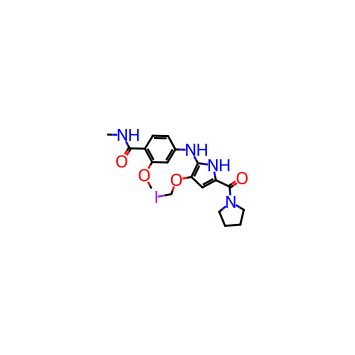 CNC(=O)c1ccc(Nc2[nH]c(C(=O)N3CCCC3)cc2OCI)cc1OC